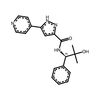 CC(C)(O)[C@H](NC(=O)c1cc(-c2ccncc2)[nH]n1)c1ccccc1